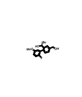 COc1ccc(F)c(-c2ccc(CO)cc2[C@@H](O)C(C)(C)C)c1